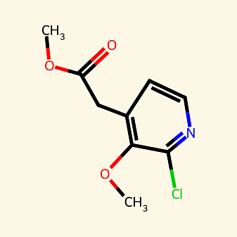 COC(=O)Cc1ccnc(Cl)c1OC